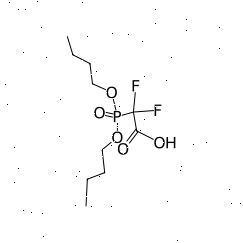 CCCCOP(=O)(OCCCC)C(F)(F)C(=O)O